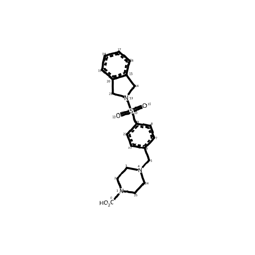 O=C(O)N1CCN(Cc2ccc(S(=O)(=O)N3Cc4ccccc4C3)cc2)CC1